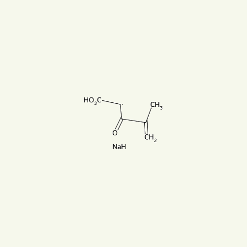 C=C(C)C(=O)[CH]C(=O)O.[NaH]